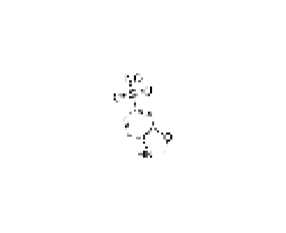 O=NS(=O)(=O)c1ccc2c(c1)OCN2